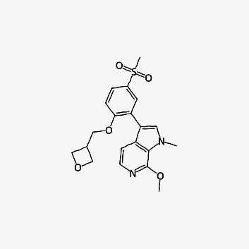 COc1nccc2c(-c3cc(S(C)(=O)=O)ccc3OCC3COC3)cn(C)c12